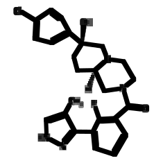 Cc1c[nH]nc1-c1cccc(C(=O)N2CCN3C[C@@](O)(c4ccc(Cl)cc4)CC[C@@H]3C2)c1F